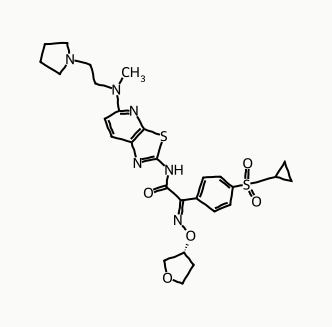 CN(CCN1CCCC1)c1ccc2nc(NC(=O)/C(=N/O[C@@H]3CCOC3)c3ccc(S(=O)(=O)C4CC4)cc3)sc2n1